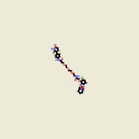 O=C(C=COCCOCCOCCNC(=O)COc1c(F)ccc2sc(N3C4CCCC3COC4)nc12)Nc1ccc(C2CCC(=O)NC2=O)cc1